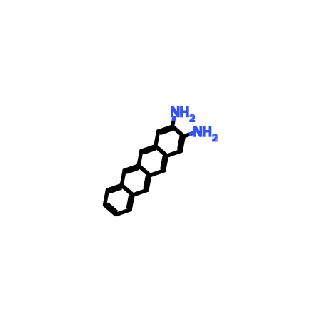 Nc1cc2cc3cc4ccccc4cc3cc2cc1N